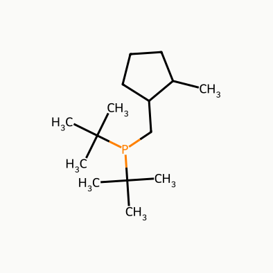 CC1CCCC1CP(C(C)(C)C)C(C)(C)C